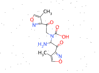 Cc1conc1C(=O)CN(C(=O)O)C(N)C(=O)c1nocc1C